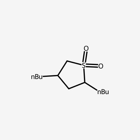 CCCCC1CC(CCCC)S(=O)(=O)C1